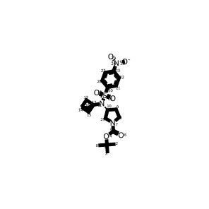 CC(C)(C)OC(=O)N1CC[C@@H](N(C23CC(C2)C3)S(=O)(=O)c2ccc([N+](=O)[O-])cc2)C1